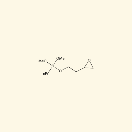 CCC[Si](OC)(OC)OCCC1CO1